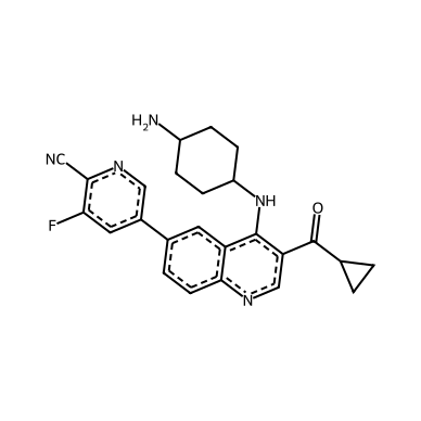 N#Cc1ncc(-c2ccc3ncc(C(=O)C4CC4)c(NC4CCC(N)CC4)c3c2)cc1F